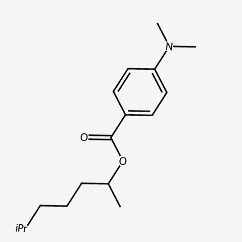 CC(C)CCCC(C)OC(=O)c1ccc(N(C)C)cc1